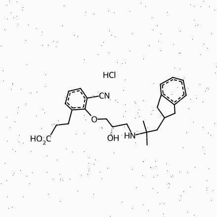 CC(C)(CC1Cc2ccccc2C1)NC[C@H](O)COc1c(C#N)cccc1CCC(=O)O.Cl